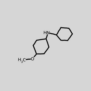 COC1CCC(NC2CCCCC2)CC1